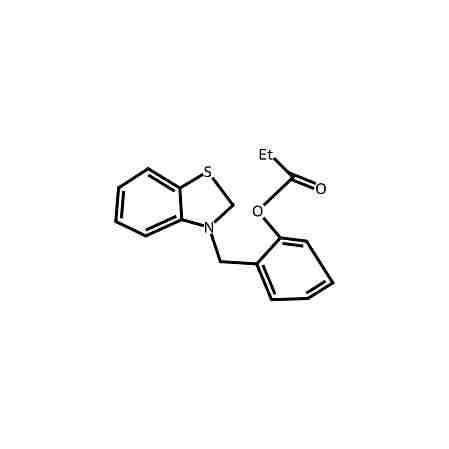 CCC(=O)Oc1ccccc1CN1CSc2ccccc21